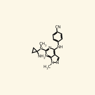 CN(c1nc(Nc2ccc(C#N)cc2)c2cnn(C)c2n1)C1(N)CC1